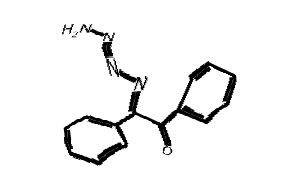 NN=NN=C(C(=O)c1ccccc1)c1ccccc1